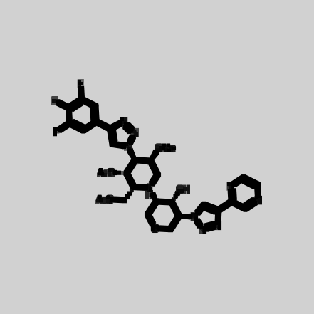 CO[C@H]1C[SH]([C@@H]2COC[C@H](n3cc(-c4cnccn4)nn3)[C@H]2O)[C@H](COC(C)=O)[C@H](OC(C)=O)[C@H]1n1cc(-c2cc(F)c(F)c(F)c2)nn1